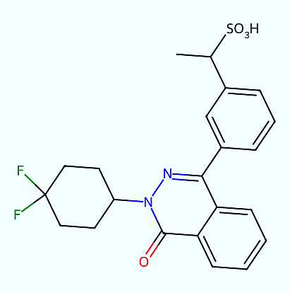 CC(c1cccc(-c2nn(C3CCC(F)(F)CC3)c(=O)c3ccccc23)c1)S(=O)(=O)O